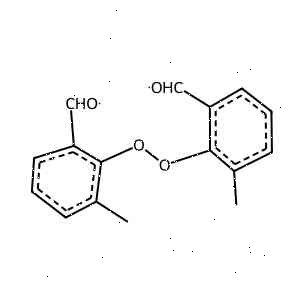 Cc1cccc([C]=O)c1OOc1c(C)cccc1[C]=O